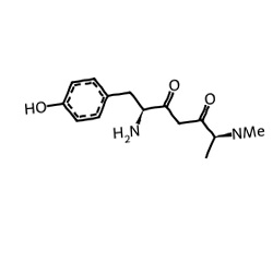 CN[C@@H](C)C(=O)CC(=O)[C@@H](N)Cc1ccc(O)cc1